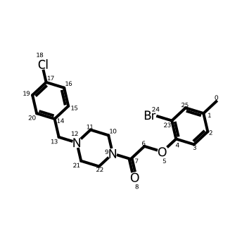 Cc1ccc(OCC(=O)N2CCN(Cc3ccc(Cl)cc3)CC2)c(Br)c1